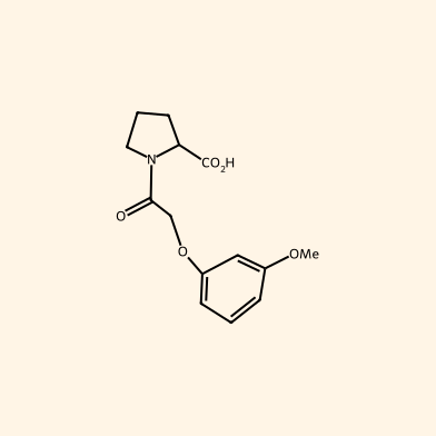 COc1cccc(OCC(=O)N2CCCC2C(=O)O)c1